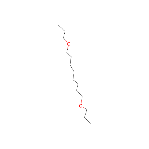 CCCOCCCCCCCCOCCC